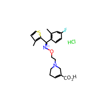 Cc1cc(F)ccc1/C(=N\OCCN1CCC=C(C(=O)O)C1)c1sccc1C.Cl